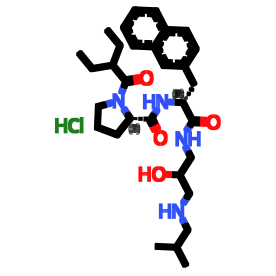 CCC(CC)C(=O)N1CCC[C@H]1C(=O)N[C@H](Cc1ccc2ccccc2c1)C(=O)NCC(O)CNCC(C)C.Cl